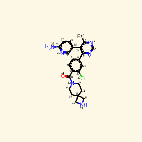 CCc1ncnc(-c2ccc(C(=O)N3CCC4(CC3)CNC4)c(Cl)c2)c1-c1ccc(N)nc1